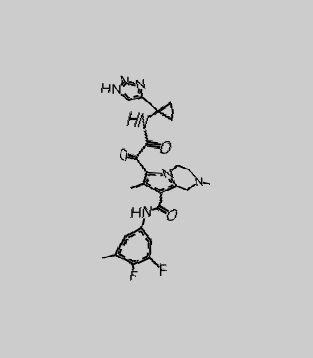 Cc1cc(NC(=O)c2c(C)c(C(=O)C(=O)NC3(c4c[nH]nn4)CC3)n3c2CN(C)CC3)cc(F)c1F